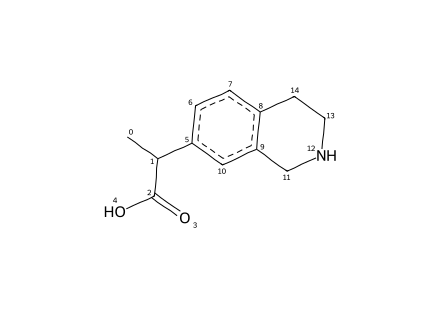 CC(C(=O)O)c1ccc2c(c1)CNCC2